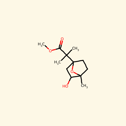 COC(=O)C(C)(C)C12CCC(C)(O1)C(O)C2